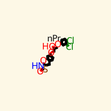 CCCc1cc(Cl)c(Cl)cc1OCC(O)COc1ccc(C=C2SC(=O)NC2=O)cc1